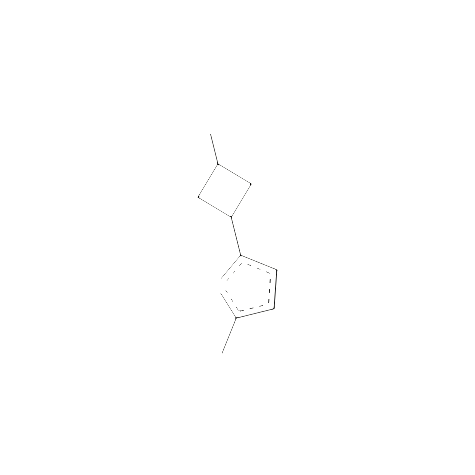 Cc1ccc(C2CC(O)C2)s1